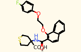 O=C(NC1(C(=O)O)CCSCC1)c1ccc2ccccc2c1OCCOc1ccc(F)cc1